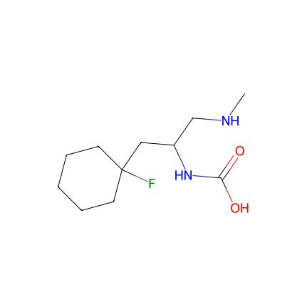 CNCC(CC1(F)CCCCC1)NC(=O)O